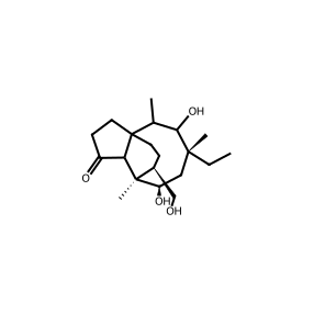 CC[C@]1(C)C[C@@H](O)[C@@]2(C)C3C(=O)CCC3(CC[C@H]2CO)C(C)C1O